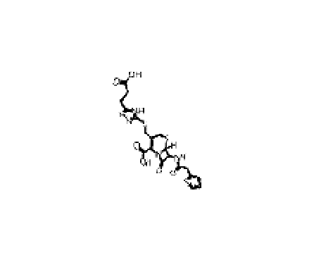 O=C(O)CCc1nnc(SCC2=C(C(=O)O)N3C(=O)C(NC(=O)Cc4cccs4)[C@H]3SC2)[nH]1